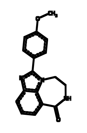 COc1ccc(-c2nc3cccc4c3n2CCNC4=O)cc1